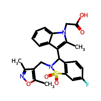 Cc1noc(C)c1CN1C(c2c(C)n(CC(=O)O)c3ccccc23)c2ccc(F)cc2S1(=O)=O